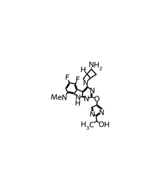 CNc1cc(F)c(F)c2c1[nH]c1nc(Oc3cnc([C@H](C)O)nc3)nc(N3C[C@H]4C3C[C@H]4N)c12